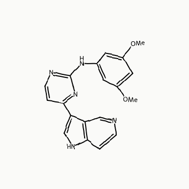 COc1cc(Nc2nccc(-c3c[nH]c4ccncc34)n2)cc(OC)c1